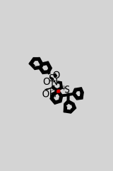 O=S(=O)(c1ccc2ccccc2c1)N1C[C@H](SC(c2ccccc2)(c2ccccc2)c2ccccc2)C[C@H]1CO